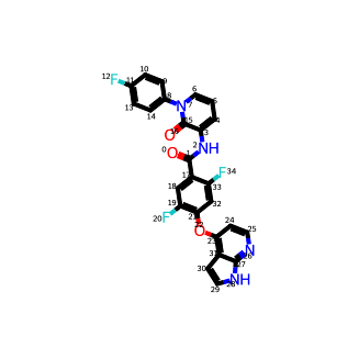 O=C(Nc1cccn(-c2ccc(F)cc2)c1=O)c1cc(F)c(Oc2ccnc3[nH]ccc23)cc1F